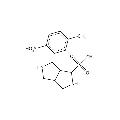 CS(=O)(=O)C1NCC2CNCC21.Cc1ccc(S(=O)(=O)O)cc1